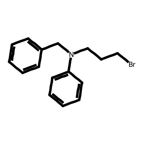 BrCCCN(Cc1ccccc1)c1ccccc1